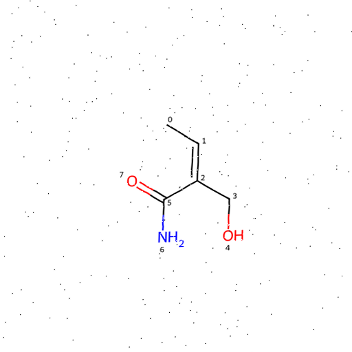 CC=C(CO)C(N)=O